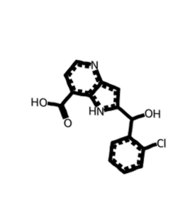 O=C(O)c1ccnc2cc(C(O)c3ccccc3Cl)[nH]c12